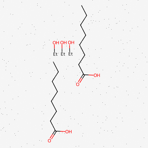 CCCCCCCC(=O)O.CCCCCCCC(=O)O.CCO.CCO.CCO